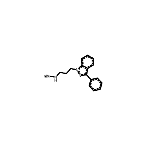 CCCCNCCCn1nc(-c2ccccc2)c2ccccc21